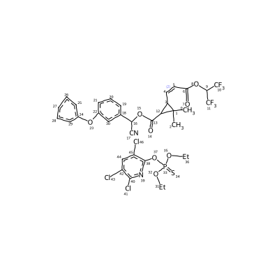 CC1(C)C(/C=C\C(=O)OC(C(F)(F)F)C(F)(F)F)C1C(=O)OC(C#N)c1cccc(Oc2ccccc2)c1.CCOP(=S)(OCC)Oc1nc(Cl)c(Cl)cc1Cl